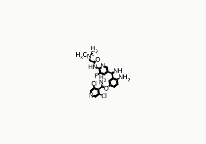 CN(C)CC(=O)Nc1ncc(C(=N)c2cc(O[C@H](N)c3c(Cl)cncc3Cl)ccc2N)cc1F